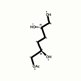 CC(=O)OC[C@H](O)CC[C@H](O)CO